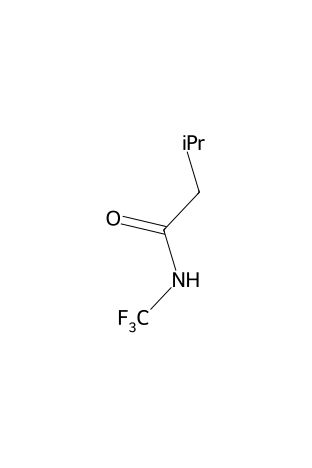 CC(C)CC(=O)NC(F)(F)F